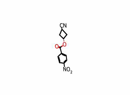 N#C[C@H]1C[C@H](OC(=O)c2ccc([N+](=O)[O-])cc2)C1